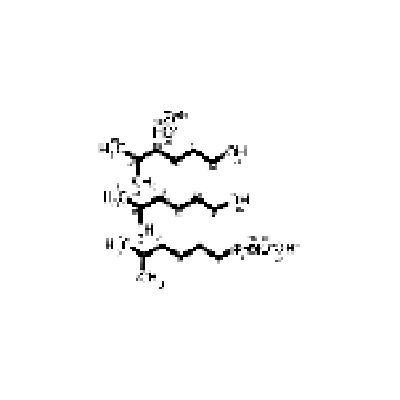 CC(C)CCCCO.CC(C)CCCCO.CC(C)CCCCO.[OH-].[OH-].[OH-].[OH-].[Zr+4]